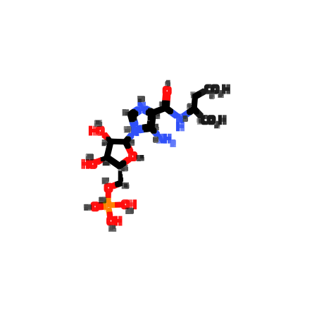 Nc1c(C(=O)NC(CC(=O)O)C(=O)O)ncn1C1O[C@H](COP(=O)(O)O)[C@@H](O)[C@H]1O